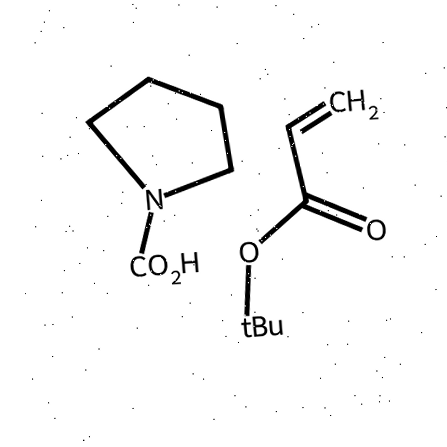 C=CC(=O)OC(C)(C)C.O=C(O)N1CCCC1